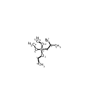 CCO[Si](CC(C)Br)(OC)OC